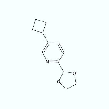 c1cc(C2OCCO2)ncc1C1CCC1